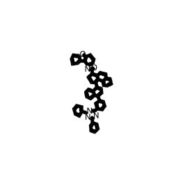 c1ccc(-c2nc(-c3ccccc3)nc(-c3cccc(-c4ccc(-c5ccc(-c6nc7c(ccc8oc9ccccc9c87)o6)c6ccc7ccccc7c56)c5ccccc45)c3)n2)cc1